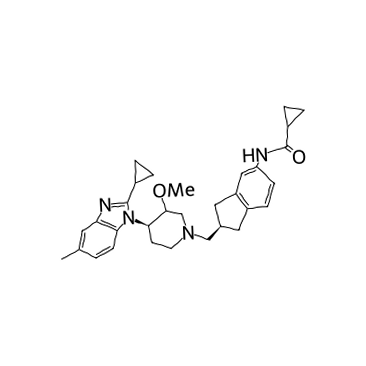 COC1CN(C[C@@H]2Cc3ccc(NC(=O)C4CC4)cc3C2)CC[C@H]1n1c(C2CC2)nc2cc(C)ccc21